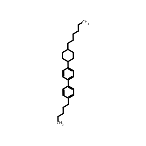 CCCCCCC1CCC(c2ccc(-c3ccc(CCCCC)cc3)cc2)CC1